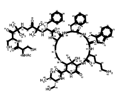 CC(=O)NC(CS)C(=O)NC(CO)C(=O)C(C)(C)NCC(=O)C(C)(C)N[C@H](Cc1ccccc1)C(=O)NC1CSCSC2C(C(=O)N[C@H](CO)[C@@H](C)O)NC(=O)C(NC(=O)C(CCCCN)NC(=O)[C@@H](CC3=c4ccccc4=NC3)NC(=O)[C@H](Cc3ccccc3)NC1=O)[C@H]2O